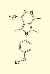 CCOc1ccc(-n2c(C)c3c(C)nnc(N)c3c2C)cc1